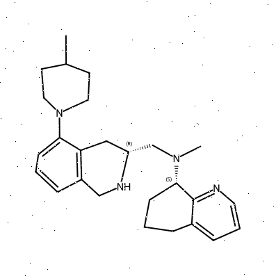 CC1CCN(c2cccc3c2C[C@H](CN(C)[C@H]2CCCc4cccnc42)NC3)CC1